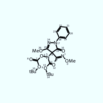 CON=C(C)C1(N(OC(=O)OC(C)(C)C)C(=O)OC(C)(C)C)C(=O)N(c2ccccc2)N=C1OC